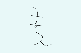 CCC(C)CC[Si](C)(C)C(C)(C)CC